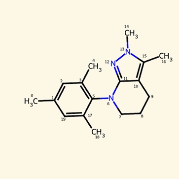 Cc1cc(C)c(N2CCCc3c2nn(C)c3C)c(C)c1